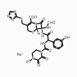 CCN1CCN(C(=O)NC(C(=O)N[C@]2(NC=O)C(=O)N3C(C(=O)[O-])=C(CSc4nncs4)CS[C@H]32)c2cccc(O)c2)C(=O)C1=O.[Na+]